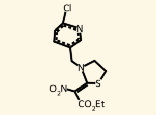 CCOC(=O)C(=C1SCCN1Cc1ccc(Cl)nc1)[N+](=O)[O-]